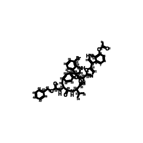 CC(=O)Oc1cccc2c(-c3cnc(-c4nc5oc4C4(CNc6c(Br)cccc64)c4cc(ccc4O)C[C@H](NC(=O)OCc4ccccc4)C(=O)NC5C(C)C)o3)c[nH]c12